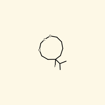 CC(C)C1(F)CCCCOCCOCC1